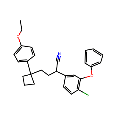 CCOc1ccc(C2(CCC(C#N)c3ccc(F)c(Oc4ccccc4)c3)CCC2)cc1